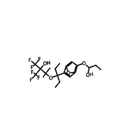 CCC(O)Oc1cc2oc1cc2C(CC)(CC)OC(C)(C)C(O)(C(F)(F)F)C(F)(F)F